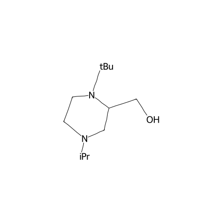 CC(C)N1CCN(C(C)(C)C)C(CO)C1